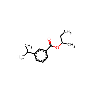 CCC(C)OC(=O)c1cccc(C(C)C)c1